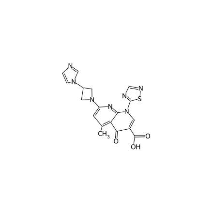 Cc1cc(N2CC(n3ccnc3)C2)nc2c1c(=O)c(C(=O)O)cn2-c1ncns1